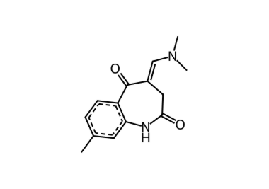 Cc1ccc2c(c1)NC(=O)CC(=CN(C)C)C2=O